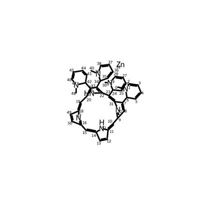 CN1C=CC=CC1C1=Cc2cc3ccc(cc4nc(cc5[nH]c(c(C6C=CC=CN6C)c1n2)c(C1C=CC=CN1C)c5C1C=CC=CN1C)C=C4)[nH]3.[Zn]